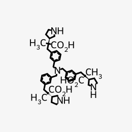 CC(Cc1cccc(CN(Cc2cccc(CC(C)(C(=O)O)[C@H]3CCNC3)c2)Cc2cccc(CC(C)(C(=O)O)[C@H]3CCNC3)c2)c1)(C(=O)O)[C@H]1CCNC1